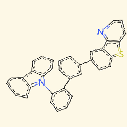 c1cc(-c2ccc3sc4cccnc4c3c2)cc(-c2ccccc2-n2c3ccccc3c3ccccc32)c1